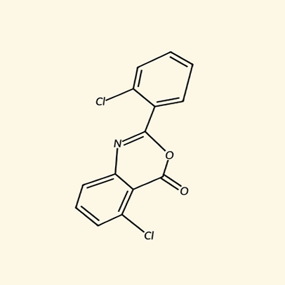 O=c1oc(-c2ccccc2Cl)nc2cccc(Cl)c12